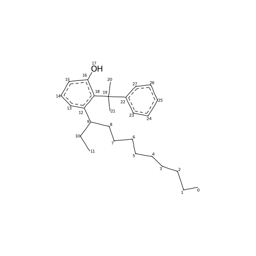 CCCCCCCCCC(CC)c1cccc(O)c1C(C)(C)c1ccccc1